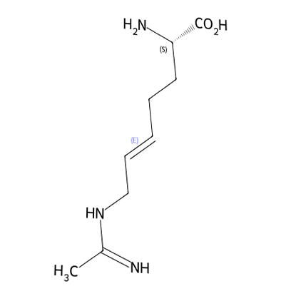 CC(=N)NC/C=C/CC[C@H](N)C(=O)O